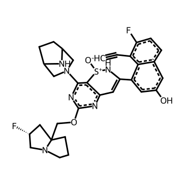 C#Cc1c(F)ccc2cc(O)cc(C3=Cc4nc(OCC56CCCN5C[C@H](F)C6)nc(N5CC6CCC(C5)N6)c4[S+]([O-])N3)c12